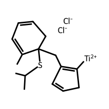 CC1=CC=CCC1(CC1=[C]([Ti+2])CC=C1)SC(C)C.[Cl-].[Cl-]